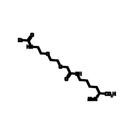 CCC(=O)NCCOCCOCC(=O)NCCCC[C@H](NC)C(=O)O